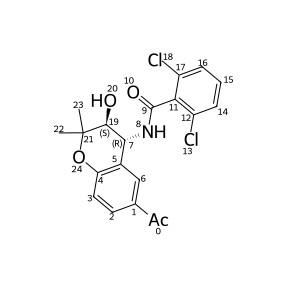 CC(=O)c1ccc2c(c1)[C@@H](NC(=O)c1c(Cl)cccc1Cl)[C@H](O)C(C)(C)O2